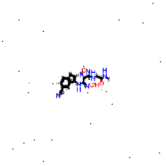 CNC(=O)CNc1nonc1/C(=N\O)NC1CCc2ccc(C#N)cc21